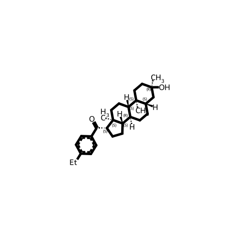 CCc1ccc(C(=O)[C@H]2CC[C@H]3[C@@H]4CC[C@H]5C[C@](C)(O)CC[C@]5(C)[C@H]4CC[C@]23C)cc1